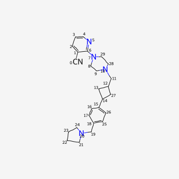 N#Cc1cccnc1N1CCN(CC2CC(c3ccc(CN4CCCC4)cc3)C2)CC1